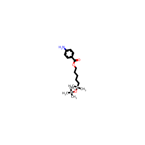 C[Si](C)(C)O[Si](C)(C)CCCCCOC(=O)c1ccc(N)cc1